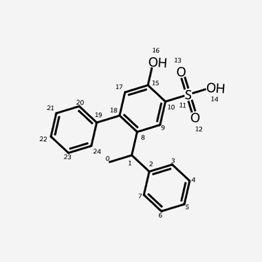 CC(c1ccccc1)c1cc(S(=O)(=O)O)c(O)cc1-c1ccccc1